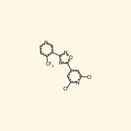 FC(F)(F)c1ccncc1-c1noc(-c2cc(Cl)nc(Cl)c2)n1